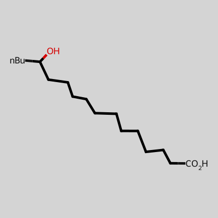 CCCCC(O)CCCCCCCCCCCC(=O)O